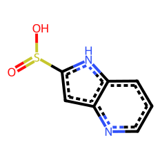 O=S(O)c1cc2ncccc2[nH]1